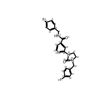 O=C(NCc1ccc(F)cc1)c1ccnc(N2CCN(Cc3ccc(F)cc3)C2=O)c1